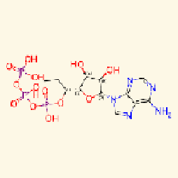 CCC(OP(=O)(O)OP(=O)(O)OP(=O)(O)O)[C@H]1O[C@@H](n2cnc3c(N)ncnc32)[C@H](O)[C@@H]1O